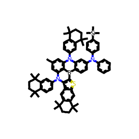 Cc1cc2c3c(c1)N(c1ccc4c(c1)C(C)(C)CCC4(C)C)c1c(sc4cc5c(cc14)C(C)(C)CCC5(C)C)B3c1ccc(N(c3ccccc3)c3ccc([Si](C)(C)C)cc3)cc1N2c1ccc2c(c1)C(C)(C)CCC2(C)C